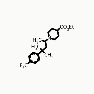 CCOC(=O)C1CCN(C(C)CC(C)(C)c2ccc(C(F)(F)F)cc2)CC1